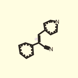 N#C/C(=C\c1ccncc1)c1ccccc1